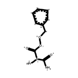 CCCN(C(N)=O)C(=O)OOCc1ccccc1